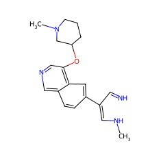 CN/C=C(\C=N)c1ccc2cncc(OC3CCCN(C)C3)c2c1